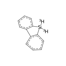 [3H][Si]1([3H])c2ccccc2-c2ccccc21